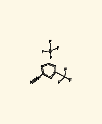 F[B-](F)(F)F.N#[N+]c1cccc(C(F)(F)F)c1